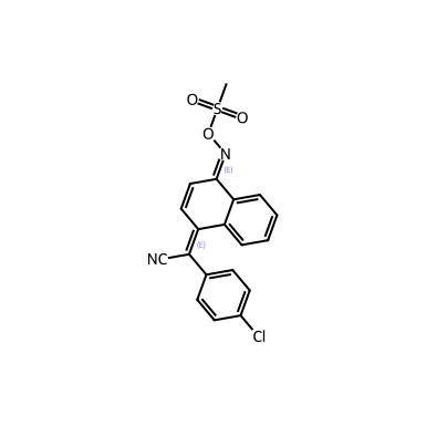 CS(=O)(=O)O/N=C1C=C/C(=C(\C#N)c2ccc(Cl)cc2)c2ccccc2\1